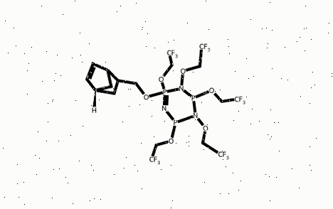 FC(F)(F)CON1P(OCC(F)(F)F)N=P(OCC2C[C@@H]3C=CC2C3)(OCC(F)(F)F)N(OCC(F)(F)F)P1OCC(F)(F)F